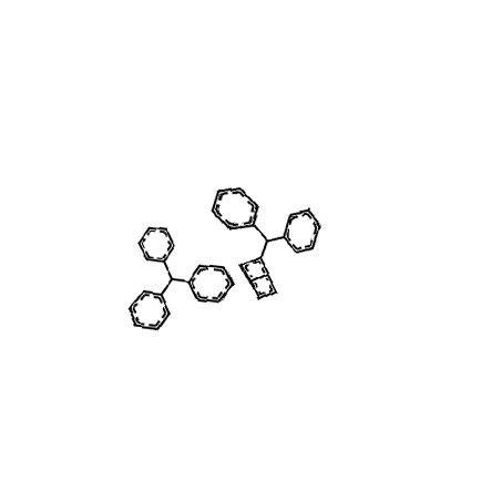 c1ccc(C(c2ccccc2)c2cc3ccc2-3)cc1.c1ccc(C(c2ccccc2)c2ccccc2)cc1